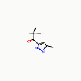 Cc1cc(C(=O)C(C)(C)C)[nH]n1